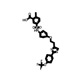 Cc1ccc(S(=O)(=O)Nc2ccc(OCCc3csc(-c4ccc(OC(F)(F)F)cc4)n3)cc2)cc1C(=O)O